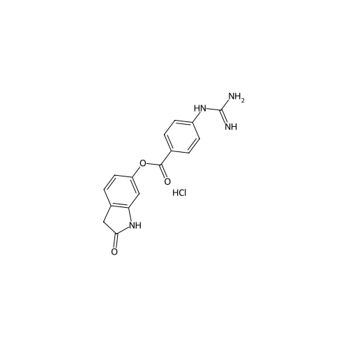 Cl.N=C(N)Nc1ccc(C(=O)Oc2ccc3c(c2)NC(=O)C3)cc1